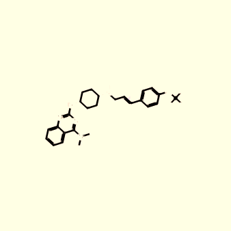 CN(C)c1nc(N[C@H]2CC[C@@H](NC/C=C/c3ccc(OC(F)(F)F)cc3)CC2)nc2ccccc12